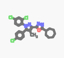 Cc1c(-c2nnc(C3CCCCCC3)o2)nn(-c2ccc(Cl)cc2Cl)c1-c1ccc(Cl)cc1